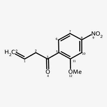 C=CCC(=O)c1ccc([N+](=O)[O-])cc1OC